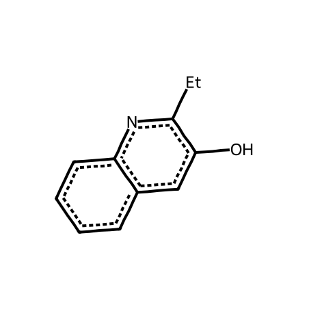 CCc1nc2ccccc2cc1O